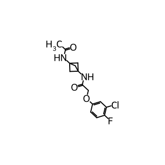 CC(=O)NC12CC(NC(=O)COc3ccc(F)c(Cl)c3)(C1)C2